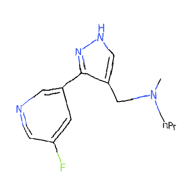 CCCN(C)Cc1c[nH]nc1-c1cncc(F)c1